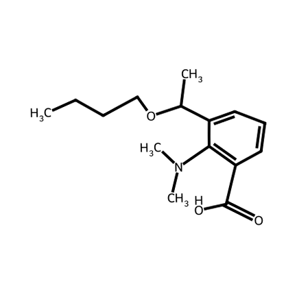 CCCCOC(C)c1cccc(C(=O)O)c1N(C)C